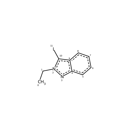 CCn1nc2ccccc2c1I